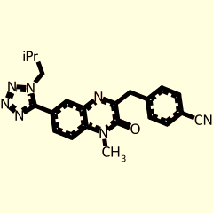 CC(C)Cn1nnnc1-c1ccc2c(c1)nc(Cc1ccc(C#N)cc1)c(=O)n2C